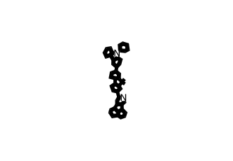 CC1(C)c2cc(-c3ccc4c(c3)c3ccccc3n4-c3ccccc3)ccc2-c2ccc(-c3cc4c(cn3)-c3cccc5cccc-4c35)cc21